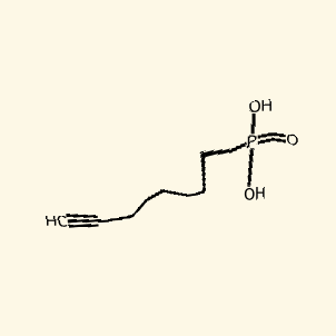 C#CCCCCP(=O)(O)O